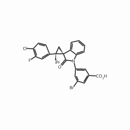 CC(C)[C@@]1(c2ccc(Cl)c(F)c2)C[C@@]12C(=O)N(c1cc(Br)cc(C(=O)O)c1)c1ccccc12